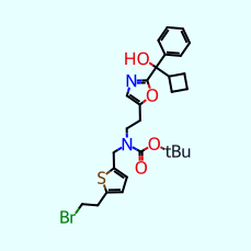 CC(C)(C)OC(=O)N(CCc1cnc(C(O)(c2ccccc2)C2CCC2)o1)Cc1ccc(CCBr)s1